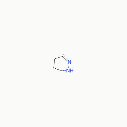 [C]1=NNCCC1